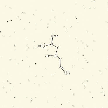 C=CC[S+]([O-])C[C@H](NC)C(=O)O